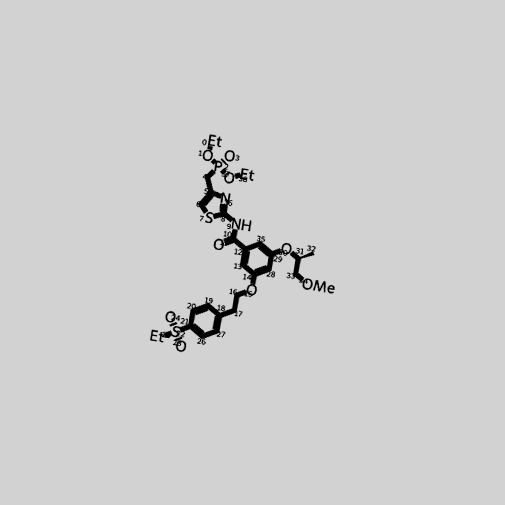 CCOP(=O)(Cc1csc(NC(=O)c2cc(OCCc3ccc(S(=O)(=O)CC)cc3)cc(O[C@@H](C)COC)c2)n1)OCC